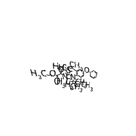 CCOC(=O)C(=O)N=C(SC)N(c1c(C(C)C)cc(Oc2ccccc2)cc1C(C)C)C(C)(C)C